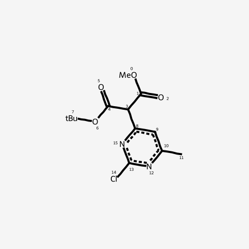 COC(=O)C(C(=O)OC(C)(C)C)c1cc(C)nc(Cl)n1